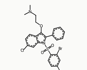 Cc1ccc(S(=O)(=O)n2c(-c3ccccc3)c(OCCN(C)C)c3ccc(Cl)cc32)c(Br)c1